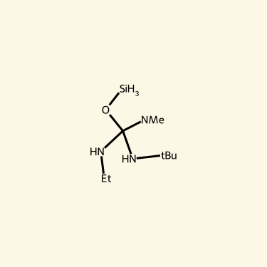 CCNC(NC)(NC(C)(C)C)O[SiH3]